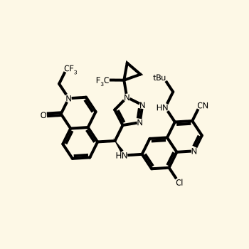 CC(C)(C)CNc1c(C#N)cnc2c(Cl)cc(N[C@H](c3cn(C4(C(F)(F)F)CC4)nn3)c3cccc4c(=O)n(CC(F)(F)F)ccc34)cc12